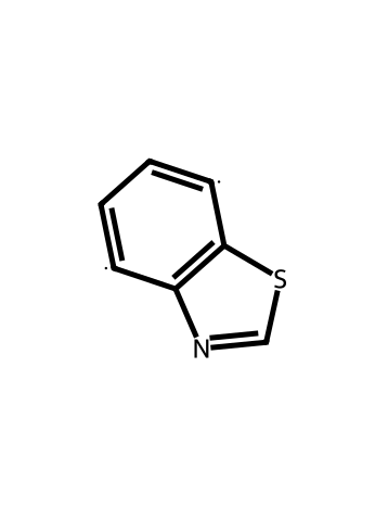 [c]1cc[c]c2scnc12